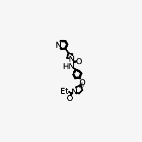 CCC(=O)N1CC[C@@H](Oc2ccc(NC(=O)N3CC(c4cccnc4)C3)cc2)C1